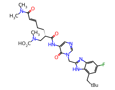 CN(C)C(=O)/C=C/CC[C@@H](CN(C)C(=O)O)C(=O)Nc1cncn(Cc2nc3cc(F)cc(CC(C)(C)C)c3[nH]2)c1=O